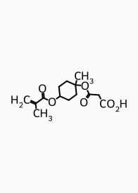 C=C(C)C(=O)OC1CCC(C)(OC(=O)CC(=O)O)CC1